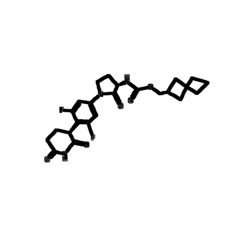 O=C1CC[C@@H](c2c(F)cc(N3CC[C@@H](NC(=O)OCC4CC5(CCC5)C4)C3=O)cc2F)C(=O)N1